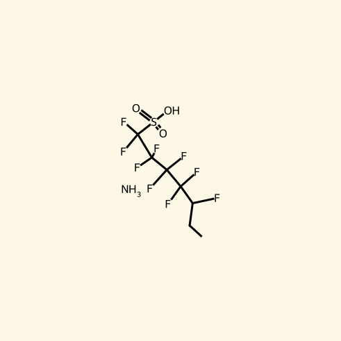 CCC(F)C(F)(F)C(F)(F)C(F)(F)C(F)(F)S(=O)(=O)O.N